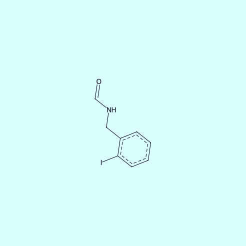 O=CNCc1ccccc1I